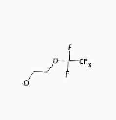 [O]CCOC(F)(F)C(F)(F)F